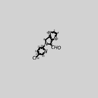 O=CC1c2nccnc2CN1c1ccc(Cl)cn1